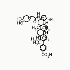 CC(C)[C@@H]1CC[C@]2(NC(=O)CN3CCS(O)(O)CC3)CC[C@]3(C)[C@H](CC[C@@H]4[C@@]5(C)CC=C(c6ccc(C(=O)O)cc6)C(C)(C)[C@@H]5CC[C@]43C)[C@@H]12